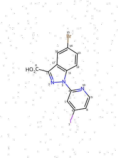 O=C(O)c1nn(-c2cc(I)ccn2)c2ccc(Br)cc12